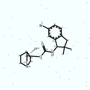 CC1(C)Cc2ccc(Br)cc2C1NC(=O)O[C@H]1CN2CCC1CC2